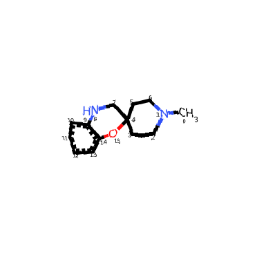 CN1CCC2(CC1)CNc1ccccc1O2